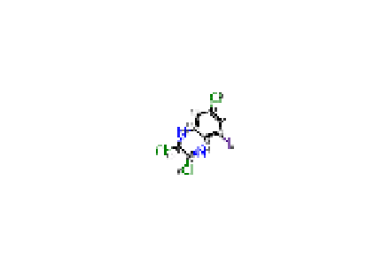 Clc1cc(I)c2nc(Cl)c(Cl)nc2c1